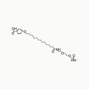 CNC(=O)COCCOCCNC(=O)CCCCCCCCCCCCCCOc1ccc(C(=O)O)cc1